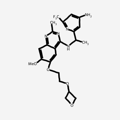 COc1cc2nc(C)nc(NC(C)c3cc(N)cc(C(F)(F)F)n3)c2cc1OCCOC1COC1